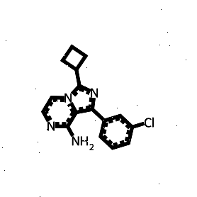 Nc1nccn2c(C3CCC3)nc(-c3cccc(Cl)c3)c12